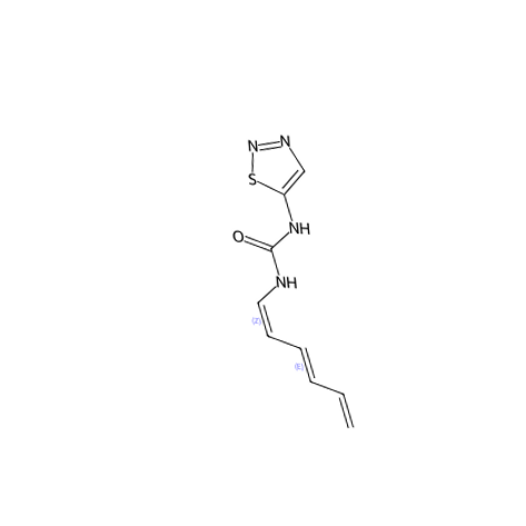 C=C/C=C/C=C\NC(=O)Nc1cnns1